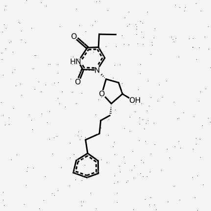 CCc1cn([C@@H]2CC(O)[C@H](CCCCc3ccccc3)O2)c(=O)[nH]c1=O